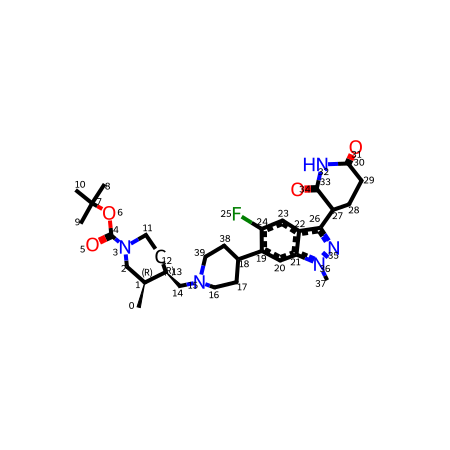 C[C@H]1CN(C(=O)OC(C)(C)C)CC[C@H]1CN1CCC(c2cc3c(cc2F)c(C2CCC(=O)NC2=O)nn3C)CC1